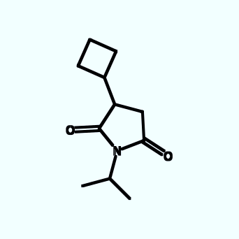 CC(C)N1C(=O)CC(C2CCC2)C1=O